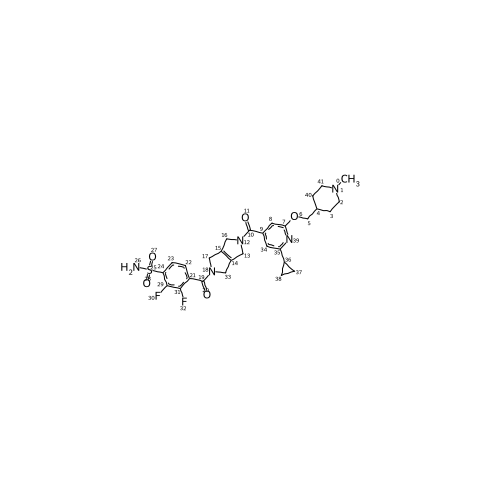 CN1CCC(COc2cc(C(=O)N3CC4=C(C3)CN(C(=O)c3ccc(S(N)(=O)=O)c(F)c3F)C4)cc(C3CC3)n2)CC1